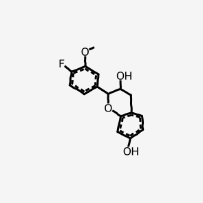 COc1cc(C2Oc3cc(O)ccc3CC2O)ccc1F